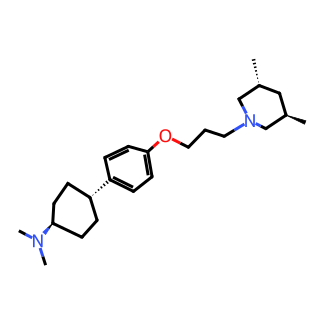 C[C@@H]1C[C@@H](C)CN(CCCOc2ccc([C@H]3CC[C@H](N(C)C)CC3)cc2)C1